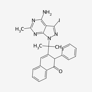 Cc1nc(N)c2c(I)nn(C(C)(C)C3=Cc4ccccc4C(=O)C3c3ccccc3)c2n1